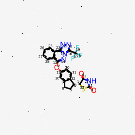 O=C1NC(=O)C([C@@H]2CCc3cc(Oc4nn5c(C(F)(F)F)nnc5c5ccccc45)ccc32)S1